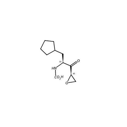 O=C(O)N[C@@H](CC1CCCC1)C(=O)[C@H]1CO1